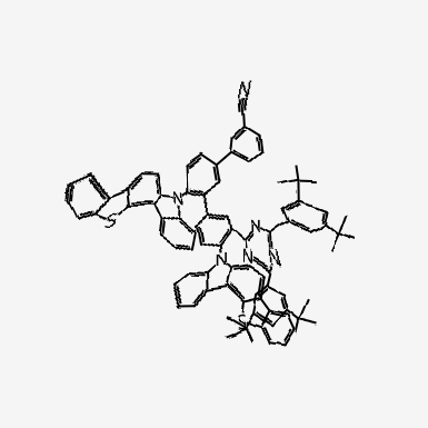 CC(C)(C)c1cc(-c2nc(-c3cc(C(C)(C)C)cc(C(C)(C)C)c3)nc(-c3cc(-c4cc(-c5cccc(C#N)c5)ccc4-n4c5ccccc5c5c6sc7ccccc7c6ccc54)ccc3-n3c4ccccc4c4c5sc6ccccc6c5ccc43)n2)cc(C(C)(C)C)c1